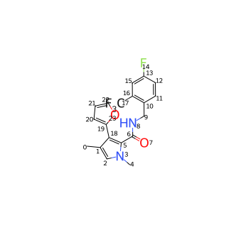 Cc1cn(C)c(C(=O)NCc2ccc(F)cc2C(F)(F)F)c1-c1ccco1